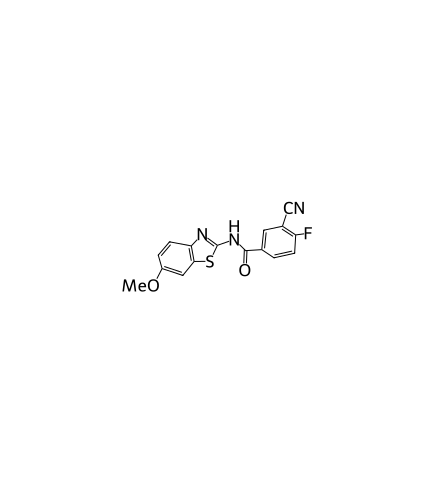 COc1ccc2nc(NC(=O)c3ccc(F)c(C#N)c3)sc2c1